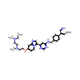 CN/C=C(\C=N)c1ccc(CNc2cc(-c3cnc4cc(OCCN(C)CCN(C)CC=O)ccn34)ncn2)cc1